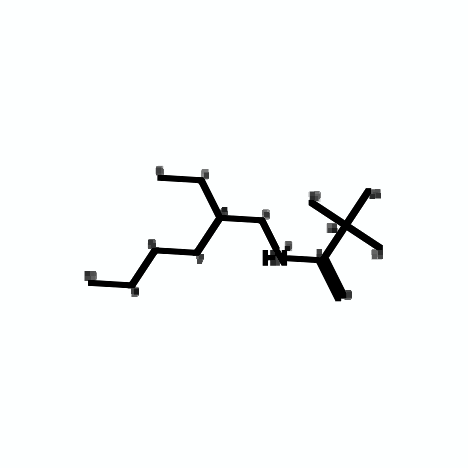 C=C(NCC(CC)CCCC)C(C)(C)C